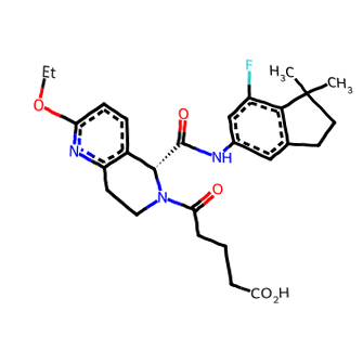 CCOc1ccc2c(n1)CCN(C(=O)CCCC(=O)O)[C@H]2C(=O)Nc1cc(F)c2c(c1)CCC2(C)C